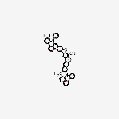 Cc1ccccc1N(c1ccc2cc3c(cc2c1)oc1c(C#N)c2oc4cc5cc(N(c6ccccc6C)c6ccccc6-c6ccccc6)ccc5cc4c2cc13)c1ccccc1-c1ccccc1